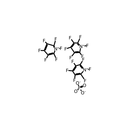 Fc1c(F)c(F)[n+](F)c(F)c1F.Fc1c(F)c(F)[n+](F)c(F)c1F.Fc1c(F)c(F)[n+](F)c(F)c1F.O=P([O-])([O-])[O-]